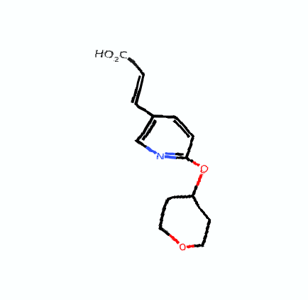 O=C(O)/C=C/c1ccc(OC2CCOCC2)nc1